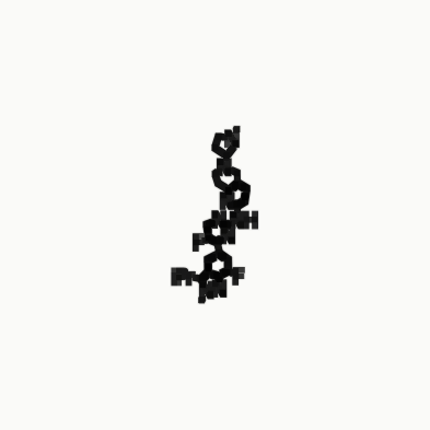 CC(C)c1c2cc(-c3nc(Nc4ccc5c(n4)CCN(C4CCN(C)C4)C5)ncc3F)cc(F)c2nn1C